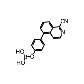 N#Cc1nccc2c(-c3ccc(OB(O)O)cc3)cccc12